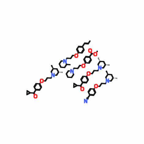 CC=Cc1ccc(OCCCN2CCCCC2C)cc1.COC(=O)c1ccc(OCCCN2CCCCC2)cc1.C[C@@H]1C[C@H](C)CN(CCCOc2ccc(C(=O)C3CC3)cc2)C1.C[C@H]1C[C@H](C)CN(CCCOc2ccc(C#N)cc2)C1.C[C@H]1C[C@H](C)CN(CCCOc2ccc(C(=O)C3CC3)cc2)C1